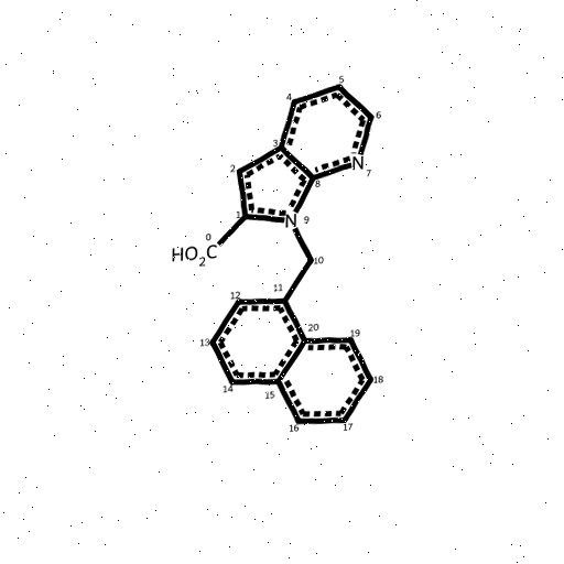 O=C(O)c1cc2cccnc2n1Cc1cccc2ccccc12